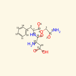 NC(=O)COC(=O)C(Cc1ccccc1)NC(=O)C(N)CC(=O)O